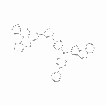 c1ccc(-c2ccc(N(c3ccc(-c4cccc(-c5cc6c7c(c5)Oc5ccccc5N7c5ccccc5O6)c4)cc3)c3ccc4c(ccc5ccccc54)c3)cc2)cc1